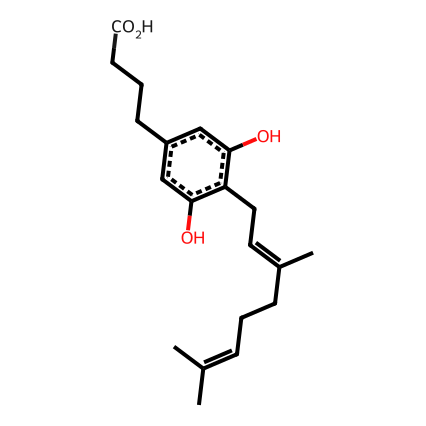 CC(C)=CCC/C(C)=C/Cc1c(O)cc(CCCC(=O)O)cc1O